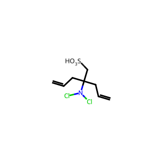 C=CCC(CC=C)(CS(=O)(=O)O)N(Cl)Cl